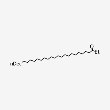 CCCCCCCCCCCCCCCCCCCCCCCCCCCCCCC(=O)CC